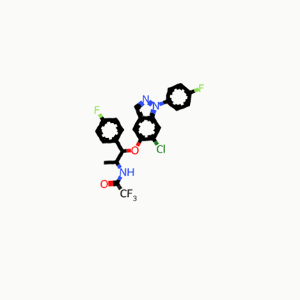 CC(NC(=O)C(F)(F)F)C(Oc1cc2cnn(-c3ccc(F)cc3)c2cc1Cl)c1ccc(F)cc1